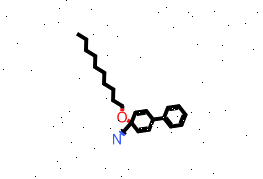 CCCCCCCCCCOC1(C#N)C=CC(c2ccccc2)C=C1